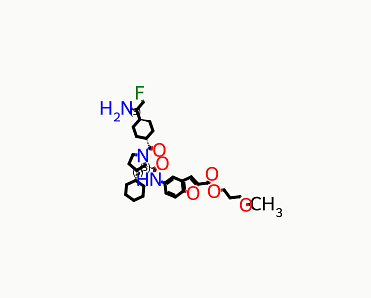 COCCCOC(=O)c1cc2cc(NC(=O)[C@@H]3[C@H](C4CCCCC4)CCN3C(=O)[C@H]3CC[C@H]([C@H](N)CF)CC3)ccc2o1